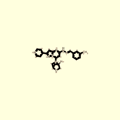 Cc1cccc(/C=N/Nc2cc(N3CC4C[C@H]3CO4)n3nc(-c4ccncc4)cc3n2)c1